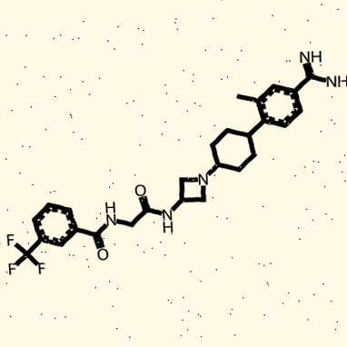 Cc1cc(C(=N)N)ccc1C1CCC(N2CC(NC(=O)CNC(=O)c3cccc(C(F)(F)F)c3)C2)CC1